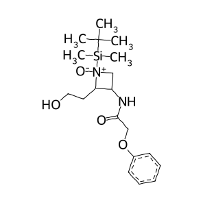 CC(C)(C)[Si](C)(C)[N+]1([O-])CC(NC(=O)COc2ccccc2)C1CCO